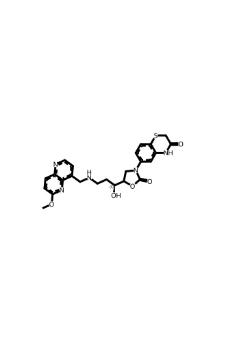 COc1ccc2nccc(CNCC[C@H](O)C3CN(c4ccc5c(c4)NC(=O)CS5)C(=O)O3)c2n1